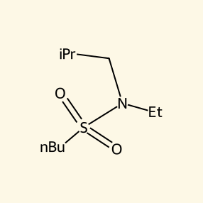 [CH2]CN(CC(C)C)S(=O)(=O)CCCC